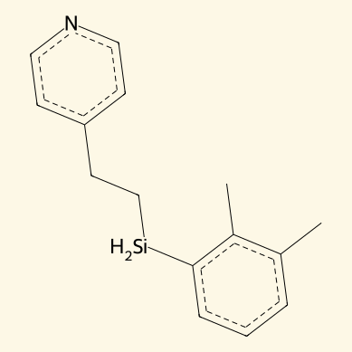 Cc1cccc([SiH2]CCc2ccncc2)c1C